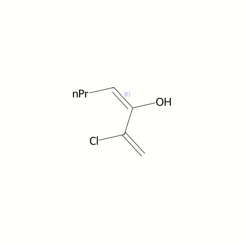 C=C(Cl)/C(O)=C\CCC